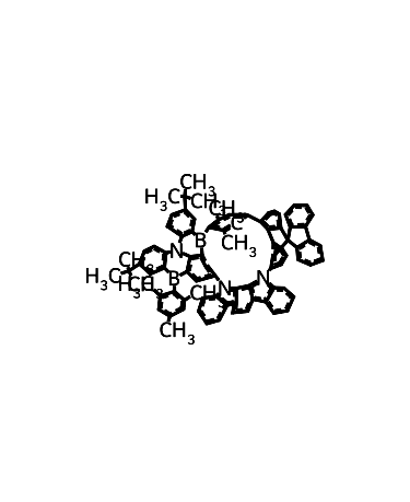 Cc1cc(C)c(B2c3cc(C(C)(C)C)ccc3N3c4ccc(C(C)(C)C)cc4B4c5cc(cc2c53)-n2c3ccccc3c3ccc5c6ccccc6n(c5c32)-c2cccc3c2C2(c5ccccc5-c5ccccc52)c2cccc(c2-3)-c2cc(C)c4c(C)c2)c(C)c1